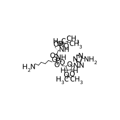 CC(C)(C)OC(=O)N[C@@H](CO)C(=O)NP(=O)(OCCCCCCN)OC[C@H]1O[C@@H](n2cnc3c(N)ncnc32)[C@@H]2OC(C)(C)O[C@@H]21